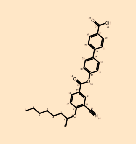 CCCCCCC(C)Oc1ccc(C(=O)Oc2ccc(-c3ccc(C(=O)O)cc3)cc2)cc1C#N